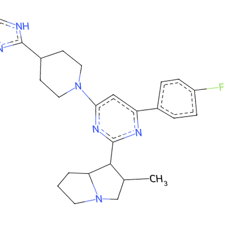 CC1CN2CCCC2C1c1nc(-c2ccc(F)cc2)cc(N2CCC(c3ncc[nH]3)CC2)n1